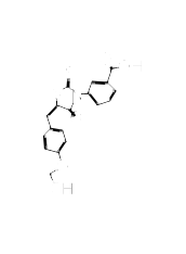 CCOc1ccc(C=C2SC(=S)N(c3cccc(C(=O)O)c3)C2=O)cc1